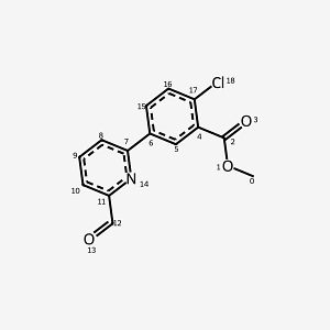 COC(=O)c1cc(-c2cccc(C=O)n2)ccc1Cl